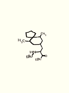 CC1CC(CC(NC(C)(C)C)C(=O)C(C)(C)C)CC(C)C12CCCC2